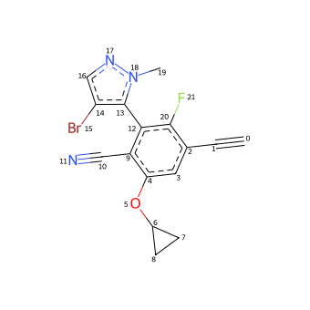 C#Cc1cc(OC2CC2)c(C#N)c(-c2c(Br)cnn2C)c1F